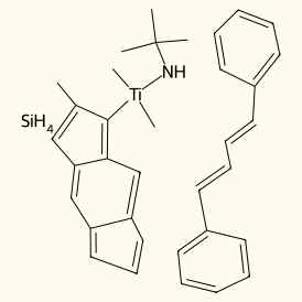 C(C=Cc1ccccc1)=Cc1ccccc1.CC1=Cc2cc3c(cc2=[C]1[Ti]([CH3])([CH3])[NH]C(C)(C)C)C=CC=3.[SiH4]